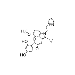 COc1ccc2c(c1)c(C=C1Oc3cc(O)cc(O)c3C1=O)c(C1CC1)n2CCn1cccn1